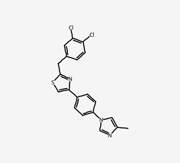 Cc1cn(-c2ccc(-c3csc(Cc4ccc(Cl)c(Cl)c4)n3)cc2)cn1